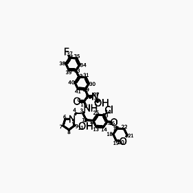 O=C(N[C@H](CN1CCCC1)[C@H](O)c1ccc(OC2CCOCC2)c(Cl)c1)C(=NO)c1ccc(-c2ccc(F)cc2)cc1